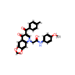 CCOc1ccc(NC(=O)Cn2cc(C(=O)c3ccc(C)cc3)c(=O)c3cc4c(cc32)OCO4)cc1